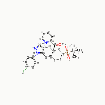 CC(C)(C)S(=O)(=O)[C@H]1CCC2=Cc3c(cnn3-c3ccc(F)cc3)C[C@]2(C(=O)c2ccccn2)C1